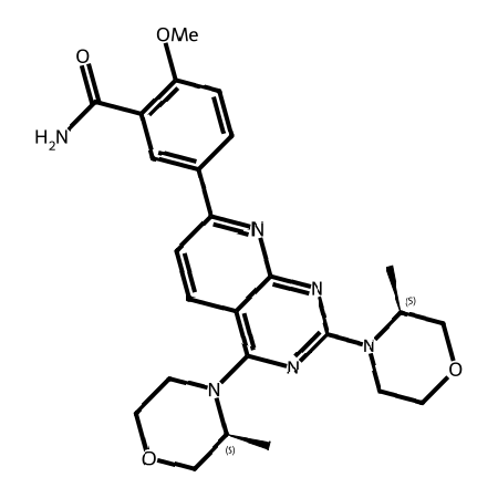 COc1ccc(-c2ccc3c(N4CCOC[C@@H]4C)nc(N4CCOC[C@@H]4C)nc3n2)cc1C(N)=O